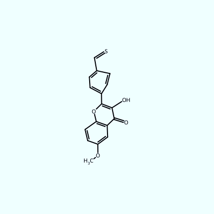 COc1ccc2oc(-c3ccc(C=S)cc3)c(O)c(=O)c2c1